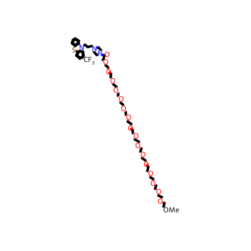 COCCOCCOCCOCCOCCOCCOCCOCCOCCOCCOCCOCCOCCOCCOCCOCCOCC(=O)N1CCN(CCCN2c3ccccc3Sc3ccc(C(F)(F)F)cc32)CC1